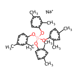 Cc1ccc(O[B-](Oc2ccc(C)cc2C)(Oc2ccc(C)cc2C)Oc2ccc(C)cc2C)c(C)c1.[Na+]